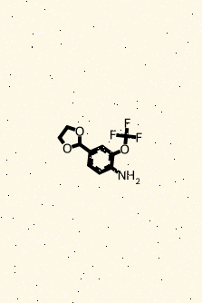 Nc1ccc(C2OCCO2)cc1OC(F)(F)F